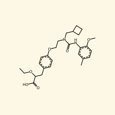 CCOC(Cc1ccc(OCCN(CC2CCC2)C(=O)Nc2cc(C)ccc2OC)cc1)C(=O)O